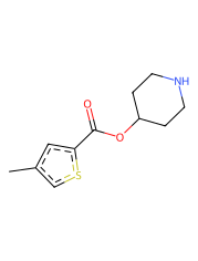 Cc1csc(C(=O)OC2CCNCC2)c1